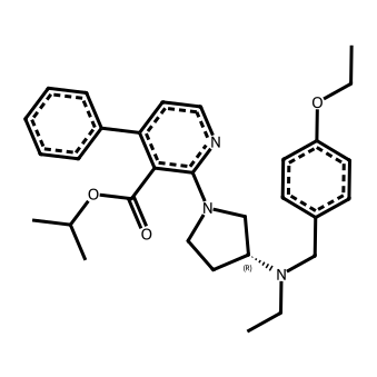 CCOc1ccc(CN(CC)[C@@H]2CCN(c3nccc(-c4ccccc4)c3C(=O)OC(C)C)C2)cc1